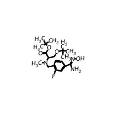 CN(Cc1ccc(/C(N)=N/O)cc1F)C(COC(C)(C)C)C(=O)OC(C)(C)C